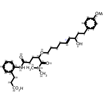 COc1ccc(CCC(O)/C=C/CCCCOC(CCC(=O)Nc2ccccc2CCC(=O)O)C(=O)N(C)C)cc1